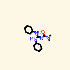 CN(C)C(=O)N=C(NC1CCCCC1)NC1CCCCC1